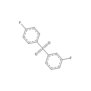 O=S(=O)(c1ccc(F)cc1)c1cccc(F)c1